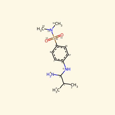 CC(C)C(N)Nc1ccc(S(=O)(=O)N(C)C)cc1